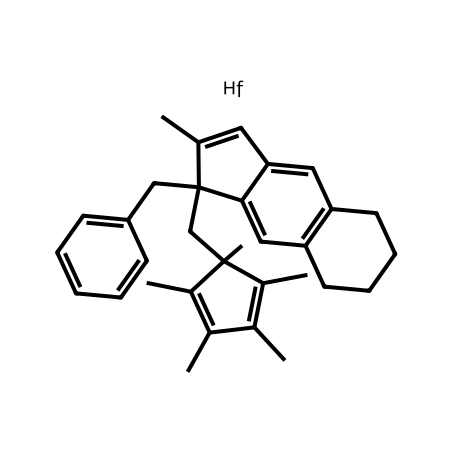 CC1=Cc2cc3c(cc2C1(Cc1ccccc1)CC1(C)C(C)=C(C)C(C)=C1C)CCCC3.[Hf]